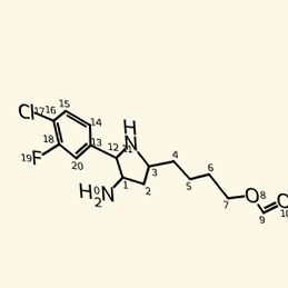 NC1CC(CCCCOC=O)NC1c1ccc(Cl)c(F)c1